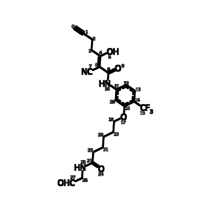 C#CCC/C(O)=C(\C#N)C(=O)Nc1ccc(C(F)(F)F)c(OCCCCCC(=O)NCC=O)c1